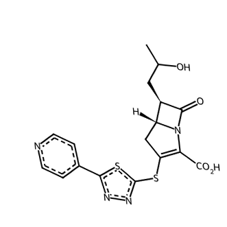 CC(O)C[C@H]1C(=O)N2C(C(=O)O)=C(Sc3nnc(-c4ccncc4)s3)C[C@H]12